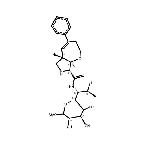 CSC1O[C@H]([C@H](NC(=O)[C@H]2NC[C@@H]3C=C(c4ccccc4)CCO[C@@H]23)[C@H](C)Cl)C(O)[C@@H](O)[C@H]1O